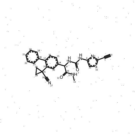 C#Cc1nc(NC(=O)NC(C(=O)NC)c2ccc(-c3ccccc3)c(C3(C#N)CC3)c2)cs1